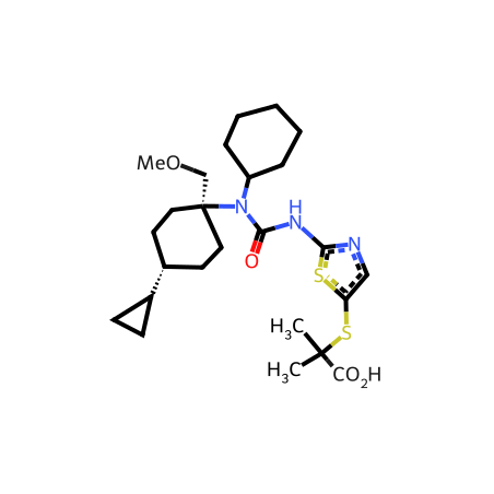 COC[C@]1(N(C(=O)Nc2ncc(SC(C)(C)C(=O)O)s2)C2CCCCC2)CC[C@H](C2CC2)CC1